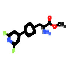 COC(=O)[C@@H](N)Cc1ccc(-c2cc(F)nc(F)c2)cc1